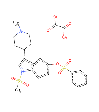 CN1CCC(c2cn(S(C)(=O)=O)c3ccc(OS(=O)(=O)c4ccccc4)cc23)CC1.O=C(O)C(=O)O